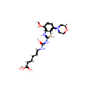 COc1ccc(N2CCOCC2)c2sc(NC(=O)NCCCCCC(=O)O)nc12